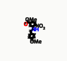 COC(=O)c1ccc([N+](=O)[O-])c(NCc2ccc(OC)cc2)c1